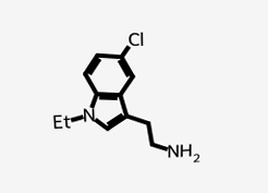 CCn1cc(CCN)c2cc(Cl)ccc21